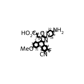 COc1ccc(-c2c(-c3ccc(C#N)c(F)c3)nc(N3CCC(N)CC3)c(=O)n2CCC(=O)O)cc1